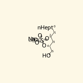 CCCCCCCCCCCCO.O=S(=O)([O-])[O-].[Na+].[Na+]